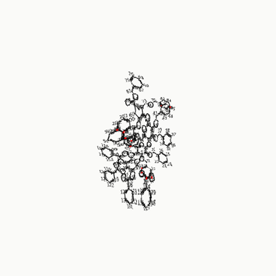 O=C(OC[C@H]1O[C@@H](O[C@H]2[C@H](OCc3ccccc3)[C@@H](OCc3ccccc3)[C@H](O[C@@H]3[C@H](OCc4ccccc4)[C@@H](OCc4ccccc4)[C@@H](O[C@H]4[C@@H](OCc5ccccc5)CN(C(=O)OCc5ccccc5)[C@H]4COCc4ccccc4)O[C@@H]3COCc3ccccc3)O[C@@H]2COCc2ccccc2)[C@H](OC(=O)c2ccccc2)[C@@H](OC(=O)c2ccccc2)[C@@H]1OC(=O)c1ccccc1)c1ccccc1